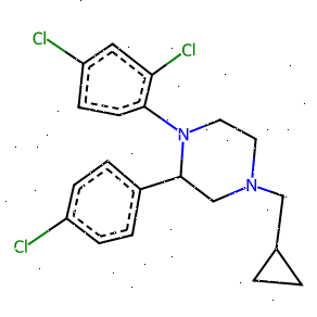 Clc1ccc(C2CN(CC3CC3)CCN2c2ccc(Cl)cc2Cl)cc1